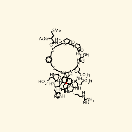 CSCC[C@H](NC(C)=O)C(=O)N[C@H]1CSCc2cccc(c2)CSC[C@@H](C(=O)NC(CC(=O)O)C(=O)N[C@@H](Cc2c[nH]cn2)C(=O)NC(C)(Cc2ccccc2)C(=O)N[C@@H](CCCNC(=N)N)C(=O)N[C@@H](CC(=O)O)C(N)=O)NC(=O)[C@H](Cc2ccccc2)NC(=O)[C@H](CCC(=O)O)NC(=O)[C@H]([C@@H](C)O)NC(=O)[C@@H]2CCCN2C(=O)[C@@H]2CCCN2C1=O